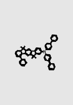 CC1(C)c2cc(N(c3ccc(C4=CCCC=C4)cc3)c3ccc(-c4ccccc4)cc3)ccc2-c2cc3c(cc21)-c1c(-c2ccccc2)cccc1C3(C)C